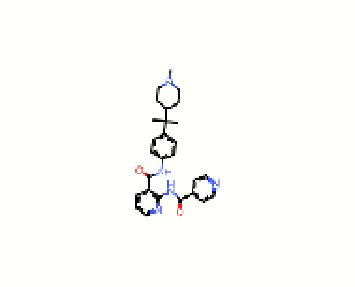 CN1CCC(C(C)(C)c2ccc(NC(=O)c3cccnc3NC(=O)c3ccncc3)cc2)CC1